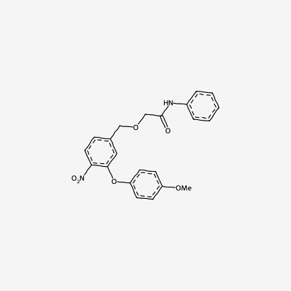 COc1ccc(Oc2cc(COCC(=O)Nc3ccccc3)ccc2[N+](=O)[O-])cc1